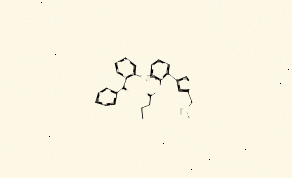 CCCC(=O)Oc1c(Nc2ccccc2C(=O)c2ccccc2)cccc1-c1csc(CNC)c1